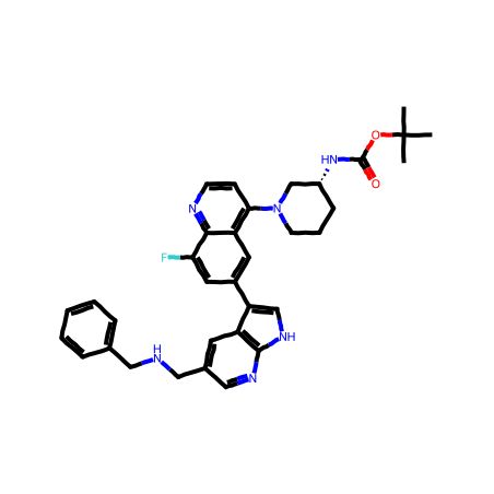 CC(C)(C)OC(=O)N[C@@H]1CCCN(c2ccnc3c(F)cc(-c4c[nH]c5ncc(CNCc6ccccc6)cc45)cc23)C1